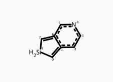 C1=c2ccncc2=C[SiH2]1